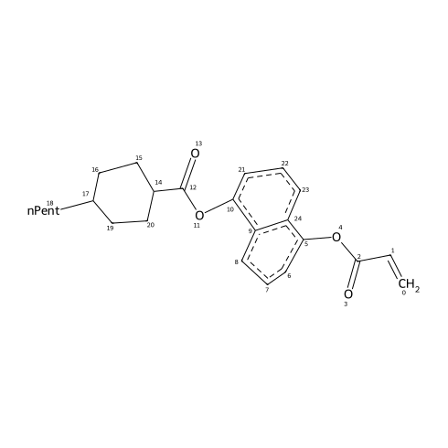 C=CC(=O)Oc1cccc2c(OC(=O)C3CCC(CCCCC)CC3)cccc12